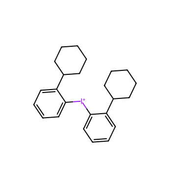 c1ccc(C2CCCCC2)c([I+]c2ccccc2C2CCCCC2)c1